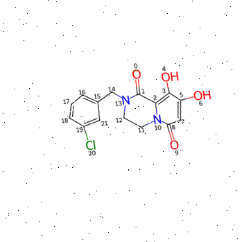 O=C1c2c(O)c(O)cc(=O)n2CCN1Cc1cccc(Cl)c1